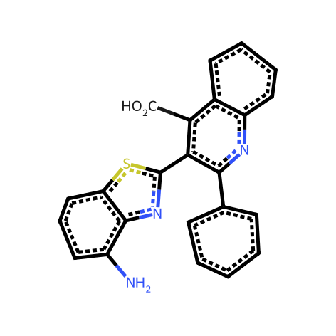 Nc1cccc2sc(-c3c(-c4ccccc4)nc4ccccc4c3C(=O)O)nc12